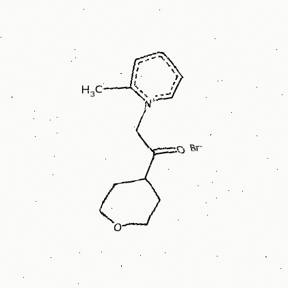 Cc1cccc[n+]1CC(=O)C1CCOCC1.[Br-]